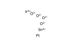 [Ir+4].[O-2].[O-2].[O-2].[O-2].[Pt].[Sn+4]